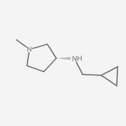 CN1CC[C@@H](NCC2CC2)C1